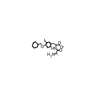 COC(=O)[C@H](Cc1ccc(OCc2ccccc2)c(I)c1)NC(=O)[C@H](C)N